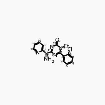 CCn1c(-c2ccccc2Cl)nc(N(N)c2ccccn2)nc1=O